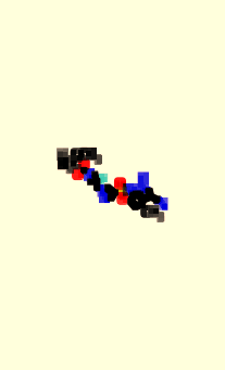 Cc1ccc(NS(=O)(=O)c2cnn(CC3(F)CN(C(=O)OC(C)(C)C)C3)c2)c2[nH]cc(C#N)c12